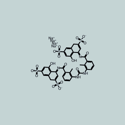 Cc1c(NC(=O)Nc2cccc(C(=O)N=C3C=C(S(=O)(=O)[O-])Cc4cc(S(=O)(=O)[O-])cc(O)c43)c2C)cccc1C(=O)N=C1C=C(S(=O)(=O)[O-])Cc2cc(S(=O)(=O)[O-])cc(O)c21.[Na+].[Na+].[Na+].[Na+]